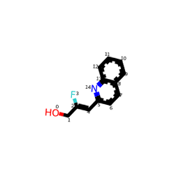 OCC(F)=Cc1ccc2ccccc2n1